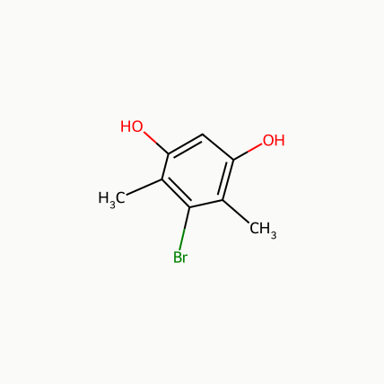 Cc1c(O)cc(O)c(C)c1Br